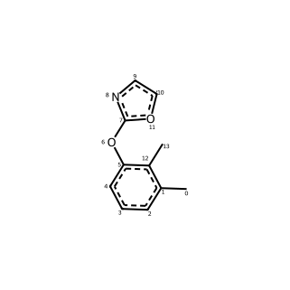 Cc1cccc(Oc2nc[c]o2)c1C